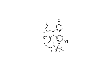 C=CC[C@@]1(C)CC(c2cccc(Cl)c2)C(c2ccc(Cl)cc2)N([C@H](CN(C(F)F)S(=O)(=O)C(C)(C)C)C2CC2)C1=O